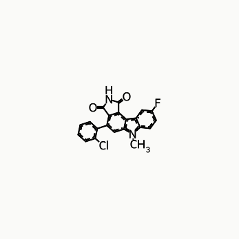 Cn1c2ccc(F)cc2c2c3c(c(-c4ccccc4Cl)cc21)C(=O)NC3=O